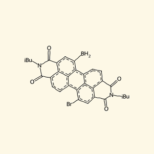 Bc1cc2c3c(ccc4c5c(Br)cc6c7c(ccc(c1c34)c75)C(=O)N(C(C)CC)C6=O)C(=O)N(C(C)CC)C2=O